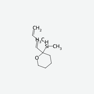 C=CC=CC1([SiH](C)C)CCCCO1